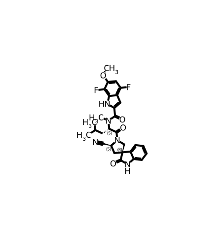 COc1cc(F)c2cc(C(=O)N(C)[C@@H](CC(C)C)C(=O)N3C[C@]4(C[C@H]3C#N)C(=O)Nc3ccccc34)[nH]c2c1F